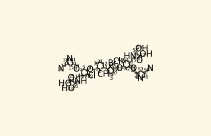 Cc1c(COc2cc(OCc3cncc(C#N)c3)c(CNC(CO)C(=O)O)cc2Cl)cccc1-c1cccc(COc2cc(OCc3cncc(C#N)c3)c(CNC(CO)C(=O)O)cc2Cl)c1Br